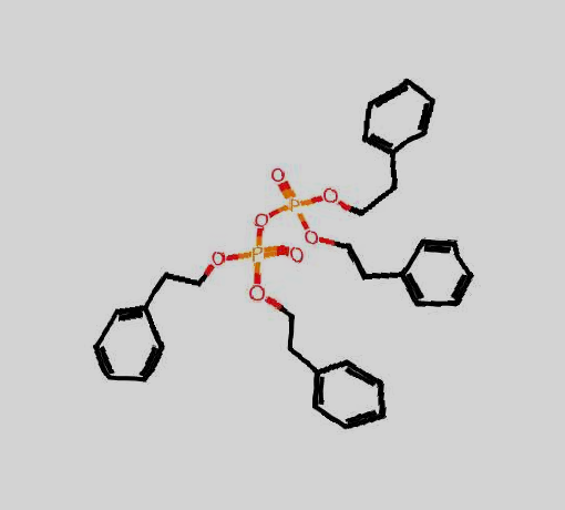 O=P(OCCc1ccccc1)(OCCc1ccccc1)OP(=O)(OCCc1ccccc1)OCCc1ccccc1